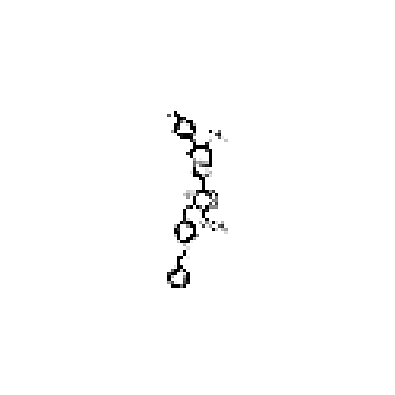 COC(=O)C(Cc1ccc(OCc2ccccc2)cc1)NC(=O)c1cn2cc(-c3ccc(Cl)cc3)c(C)cc2n1